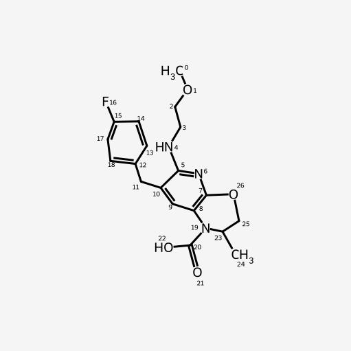 COCCNc1nc2c(cc1Cc1ccc(F)cc1)N(C(=O)O)C(C)CO2